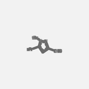 CCCc1cc(C=O)nn1C(C)(C)C